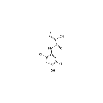 CC=C(C#N)C(=O)Nc1cc(Cl)c(O)cc1Cl